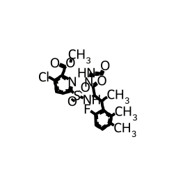 COC(=O)c1nc(S(=O)(=O)NC(c2n[nH]c(=O)o2)C(C)c2c(F)ccc(C)c2C)ccc1Cl